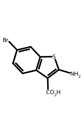 Nc1sc2cc(Br)ccc2c1C(=O)O